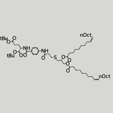 CCCCCCCC/C=C\CCCCCCCC(=O)OCC(CSCCC(=O)Nc1ccc(C(=O)NC(CCC(=O)OC(C)(C)C)C(=O)OC(C)(C)C)cc1)OC(=O)CCCCCCC/C=C\CCCCCCCC